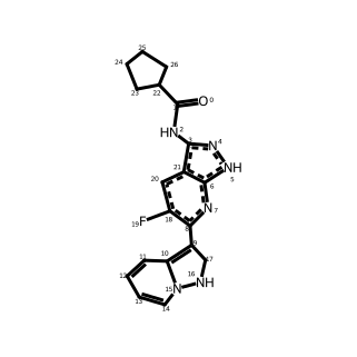 O=C(Nc1n[nH]c2nc(C3=C4C=CC=CN4NC3)c(F)cc12)C1CCCC1